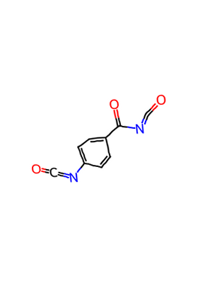 O=C=NC(=O)c1ccc(N=C=O)cc1